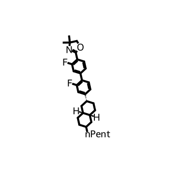 CCCCCC1CC[C@@H]2C[C@H](c3ccc(-c4ccc(C5=NC(C)(C)CO5)c(F)c4)c(F)c3)CC[C@@H]2C1